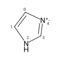 C1=CNC=[N+]1